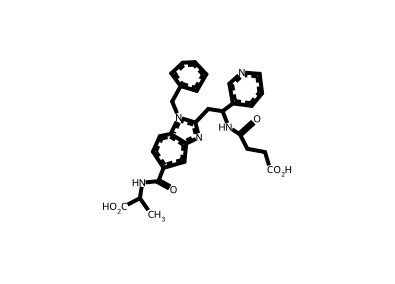 CC(NC(=O)c1ccc2c(c1)nc(CC(NC(=O)CCC(=O)O)c1cccnc1)n2Cc1ccccc1)C(=O)O